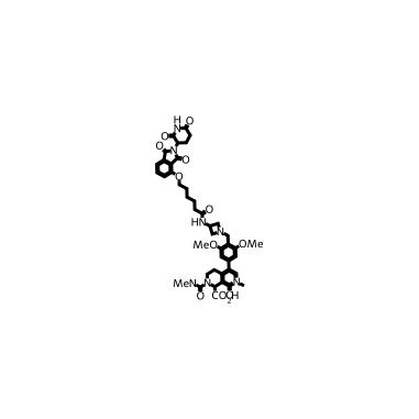 CNC(=O)N1CCc2c(-c3cc(OC)c(CN4CC(NC(=O)CCCCCOc5cccc6c5C(=O)N(C5CCC(=O)NC5=O)C6=O)C4)c(OC)c3)cn(C)c(=O)c2C1C(=O)O